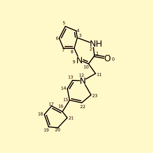 O=c1[nH]c2ccccc2nc1CN1C=CC(C2=CC=CCC2)=CC1